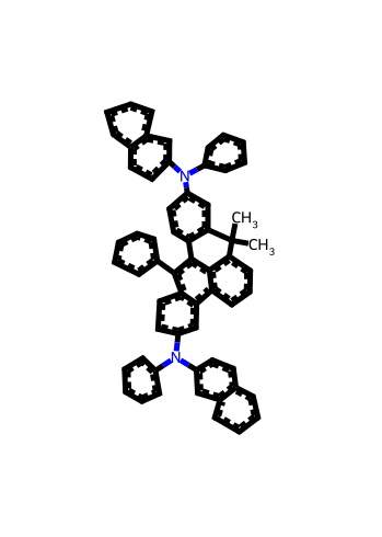 CC1(C)c2cc(N(c3ccccc3)c3ccc4ccccc4c3)ccc2-c2c(-c3ccccc3)c3ccc(N(c4ccccc4)c4ccc5ccccc5c4)cc3c3cccc1c23